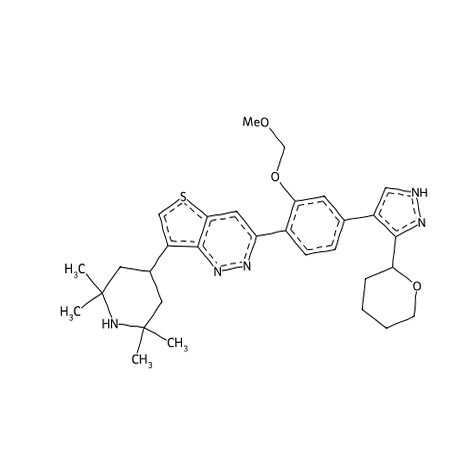 COCOc1cc(-c2c[nH]nc2C2CCCCO2)ccc1-c1cc2scc(C3CC(C)(C)NC(C)(C)C3)c2nn1